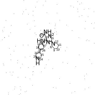 NC(=O)c1ncc(N2CCCCC2)nc1Nc1ccc(C2CCNCC2)cc1